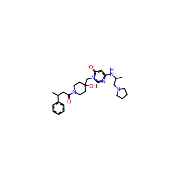 CC(CC(=O)N1CCC(O)(Cn2cnc(N[C@@H](C)CN3CCCC3)cc2=O)CC1)c1ccccc1